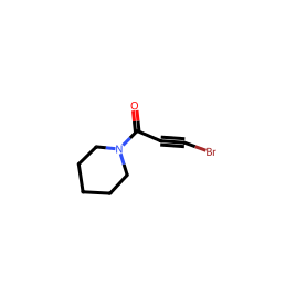 O=C(C#CBr)N1CCCCC1